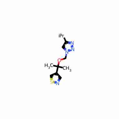 CC(C)c1cn(COC(C)(C)c2cnsc2)nn1